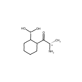 C[C@H](N)C(=O)N1CCCCC1P(O)O